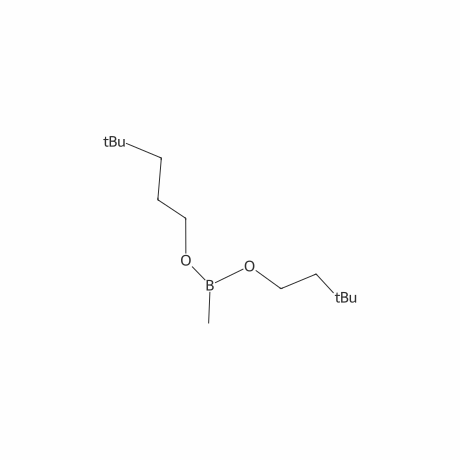 CB(OCCCC(C)(C)C)OCCC(C)(C)C